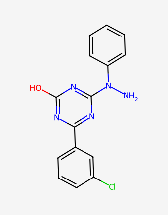 NN(c1ccccc1)c1nc(O)nc(-c2cccc(Cl)c2)n1